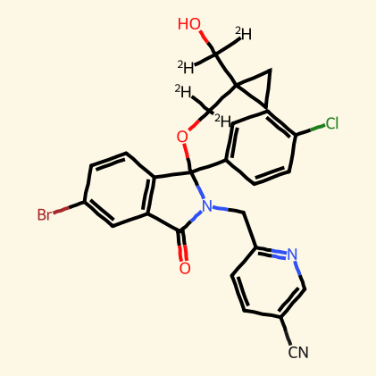 [2H]C([2H])(O)C1(C([2H])([2H])OC2(c3ccc(Cl)cc3)c3ccc(Br)cc3C(=O)N2Cc2ccc(C#N)cn2)CC1